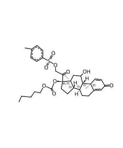 CCCCCOC(=O)O[C@]1(C(=O)COS(=O)(=O)c2ccc(C)cc2)CC[C@H]2[C@@H]3CCC4=CC(=O)C=C[C@]4(C)[C@H]3C(O)C[C@@]21C